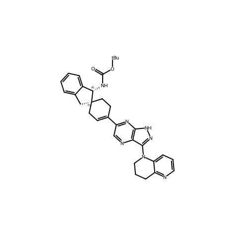 CC(C)(C)OC(=O)N[C@H]1c2ccccc2C[C@]12CC=C(c1cnc3c(N4CCCc5ncccc54)n[nH]c3n1)CC2